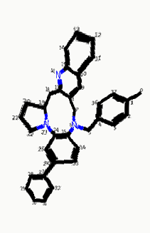 Cc1ccc(CN2Cc3cc4ccccc4nc3CC3CCCN3c3cc(-c4ccccc4)ccc32)cc1